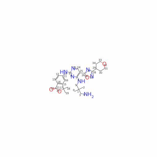 CC(C)(CN)CNc1nc(Nc2ccc3c(c2)C(C)(C)OC3=O)ncc1-c1nc(C2CCOCC2)no1